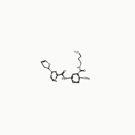 COc1ccc(NC(=O)c2cc(C3CC=CO3)ccn2)cc1C(=O)NCCCN